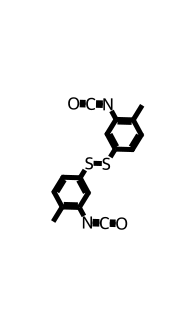 Cc1ccc(SSc2ccc(C)c(N=C=O)c2)cc1N=C=O